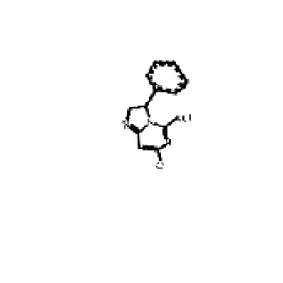 CC1=NC(Cl)=CC2=NCC(c3ccccc3)N12.Cl